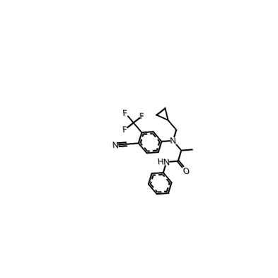 CC(C(=O)Nc1ccccc1)N(CC1CC1)c1ccc(C#N)c(C(F)(F)F)c1